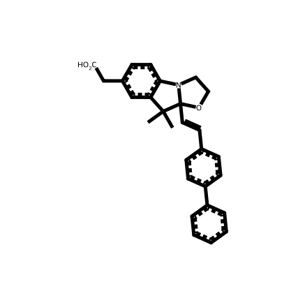 CC1(C)c2cc(CC(=O)O)ccc2N2CCOC21/C=C/c1ccc(-c2ccccc2)cc1